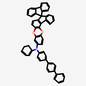 C1=CCCC(N(c2ccc(-c3ccc(-c4ccccc4)cc3)cc2)c2ccc3c(c2)Oc2ccc4c(c2O3)-c2ccccc2C42c3ccccc3-c3ccccc32)=C1